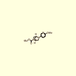 COc1ccc(N2C[C@@H]3C[C@H]2CN3C(=O)OC(C)(C)C)cn1